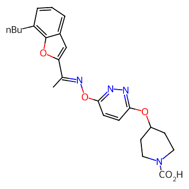 CCCCc1cccc2cc(/C(C)=N/Oc3ccc(OC4CCN(C(=O)O)CC4)nn3)oc12